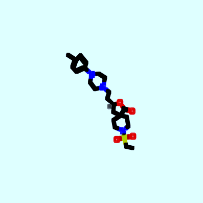 CCS(=O)(=O)N1CCC2(CC1)C[C@@H](CCN1CCN(c3ccc(C)cc3)CC1)OC2=O